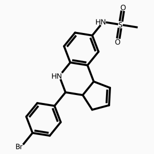 CS(=O)(=O)Nc1ccc2c(c1)C1C=CCC1C(c1ccc(Br)cc1)N2